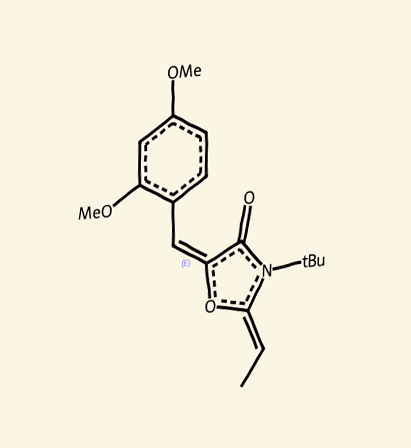 CC=c1o/c(=C/c2ccc(OC)cc2OC)c(=O)n1C(C)(C)C